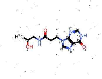 CC(O)CNC(=O)CCn1cnc2c(=O)[nH]cnc21